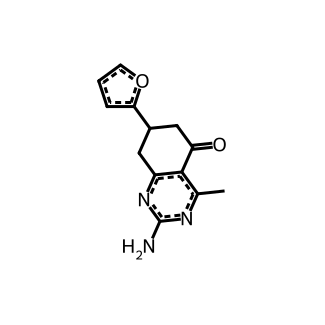 Cc1nc(N)nc2c1C(=O)CC(c1ccco1)C2